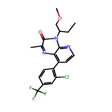 CCC(COC)n1c(=O)c(C)nc2c(-c3ccc(C(F)(F)F)cc3Cl)ccnc21